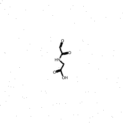 O=CC(=O)NCC(=O)O